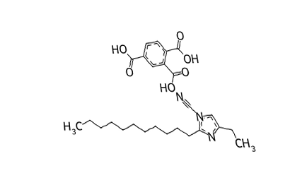 CCCCCCCCCCCc1nc(CC)cn1C#N.O=C(O)c1ccc(C(=O)O)c(C(=O)O)c1